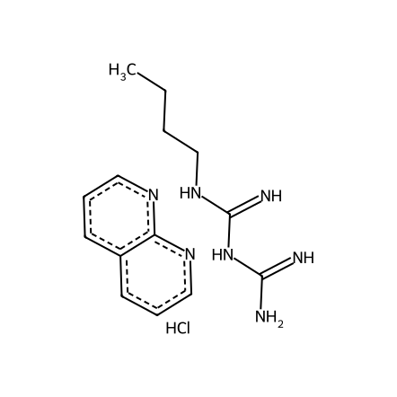 CCCCNC(=N)NC(=N)N.Cl.c1cnc2ncccc2c1